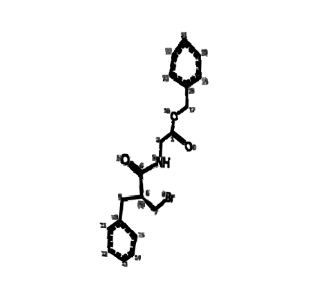 O=C(CNC(=O)[C@@H](CBr)Cc1ccccc1)OCc1ccccc1